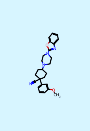 COc1cccc(C2(C#N)CCC(N3CCN(c4nc5ccccc5o4)CC3)CC2)c1